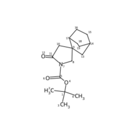 CC(C)(C)OC(=O)N1CC2(CC1=O)CC1CCC2CC1